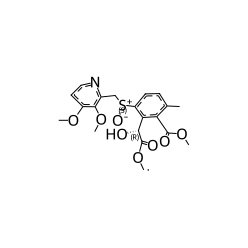 [CH2]OC(=O)[C@H](O)c1c([S@+]([O-])Cc2nccc(OC)c2OC)ccc(C)c1C(=O)OC